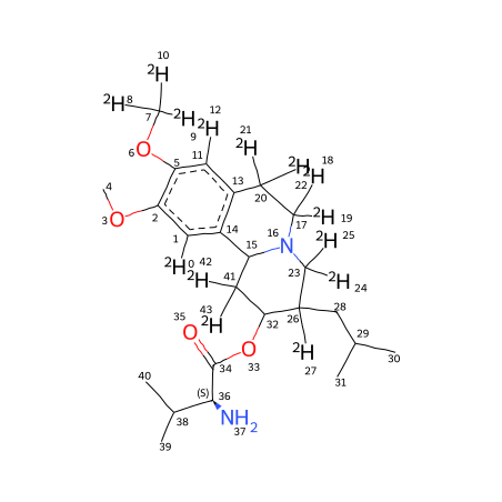 [2H]c1c(OC)c(OC([2H])([2H])[2H])c([2H])c2c1C1N(C([2H])([2H])C2([2H])[2H])C([2H])([2H])C([2H])(CC(C)C)C(OC(=O)[C@@H](N)C(C)C)C1([2H])[2H]